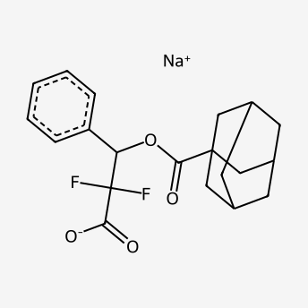 O=C(OC(c1ccccc1)C(F)(F)C(=O)[O-])C12CC3CC(CC(C3)C1)C2.[Na+]